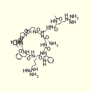 CC(=O)N[C@@H](CCCNC(=N)N)C(=O)NCCCC[C@@H]1NC(=O)[C@H](CN)NC(=O)[C@H](Cc2c[nH]c3ccccc23)NC(=O)[C@H](CCCCNC(=N)N)NC(=O)[C@@H](Cc2ccccc2)NC(=O)[C@H](Cc2cnc[nH]2)NC(=O)[C@@H]2CCCN2C(=O)[C@H]2CCCN2C1=O